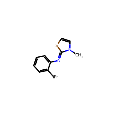 CC(C)c1ccccc1N=c1sccn1C